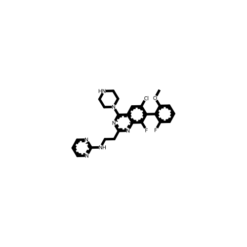 COc1cccc(F)c1-c1c(Cl)cc2c(N3CCNCC3)nc(CCNc3ncccn3)nc2c1F